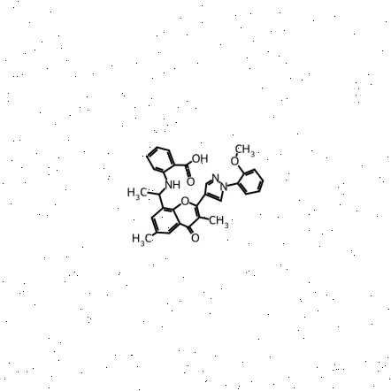 COc1ccccc1-n1cc(-c2oc3c(C(C)Nc4ccccc4C(=O)O)cc(C)cc3c(=O)c2C)cn1